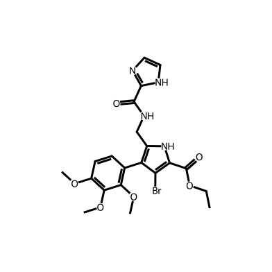 CCOC(=O)c1[nH]c(CNC(=O)c2ncc[nH]2)c(-c2ccc(OC)c(OC)c2OC)c1Br